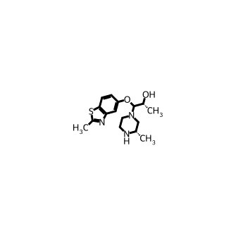 Cc1nc2cc(OC([C@@H](C)O)N3CCN[C@@H](C)C3)ccc2s1